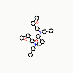 c1ccc(-c2ccc(N(c3ccc(-c4cccc5c4oc4ccccc45)cc3)c3ccc4c(c3)-c3cccc5ccc(N(c6ccc(-c7ccccc7)cc6)c6ccc(-c7cccc8c7oc7ccccc78)cc6)c(c35)O4)cc2)cc1